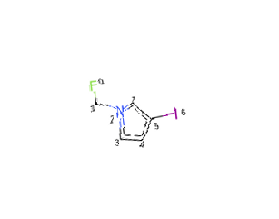 FCn1ccc(I)c1